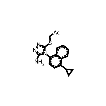 CC(=O)CSc1nnc(N)n1-c1ccc(C2CC2)c2ccccc12